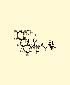 CCN(CC)CCNC(=O)c1cccc2cc3cccc(C)c3nc12